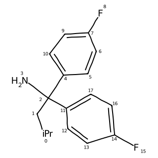 CC(C)CC(N)(c1ccc(F)cc1)c1ccc(F)cc1